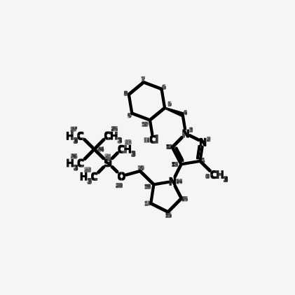 Cc1nn(C[C@@H]2CCCCC2Cl)cc1N1CCCC1CO[Si](C)(C)C(C)(C)C